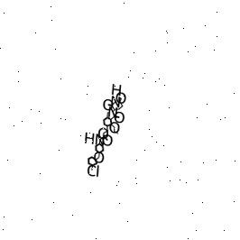 CCOc1c(COC(=O)Nc2ccc(Oc3cccc(Cl)c3)cc2)ccc2c1C(=O)N(C1CCC(=O)NC1=O)C2